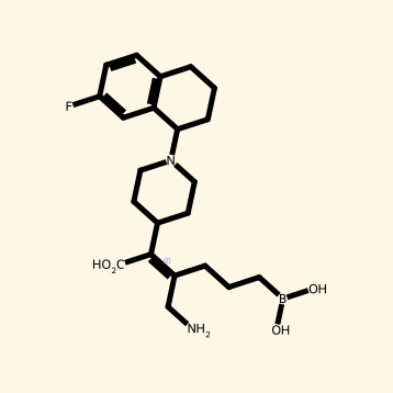 NC/C(CCCB(O)O)=C(\C(=O)O)C1CCN(C2CCCc3ccc(F)cc32)CC1